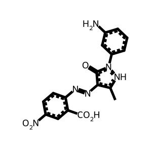 Cc1[nH]n(-c2cccc(N)c2)c(=O)c1N=Nc1ccc([N+](=O)[O-])cc1C(=O)O